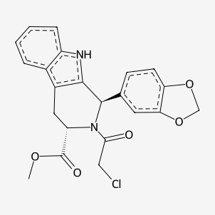 COC(=O)[C@@H]1Cc2c([nH]c3ccccc23)[C@@H](c2ccc3c(c2)OCO3)N1C(=O)CCl